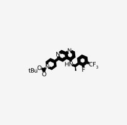 C[C@@H](Nc1ccnc2cnc(C3=CCN(C(=O)OC(C)(C)C)CC3)cc12)c1cccc(C(F)(F)F)c1F